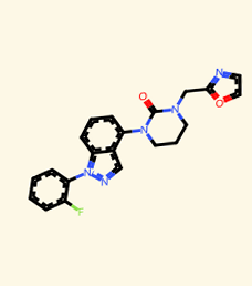 O=C1N(Cc2ncco2)CCCN1c1cccc2c1cnn2-c1ccccc1F